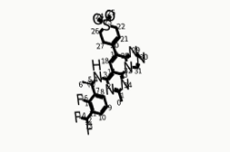 Cc1nc(N[C@H](C)c2cccc(C(F)F)c2F)c2cc(C3=CCS(=O)(=O)CC3)c3nncn3c2n1